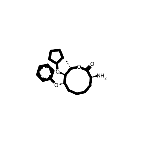 C[C@@H]1OC(=O)[C@@H](N)CCCC[C@H](Oc2ccccc2)[C@H]1OC1CCCC1